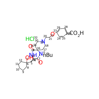 CCCCN1C(=O)[C@@H](CC2(O)CCCCC2)NC(=O)C12CCN(CCOc1ccc(C(=O)O)cc1)CC2.Cl